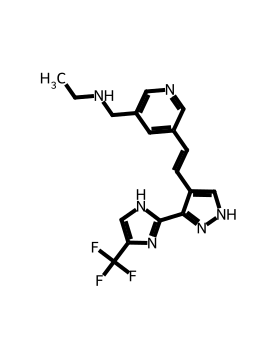 CCNCc1cncc(C=Cc2c[nH]nc2-c2nc(C(F)(F)F)c[nH]2)c1